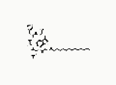 CCCCCCCCCCCCCC(=O)NCC(=O)N[C@@H](CC(=O)O)C(=O)N[C@@H](C)C(=O)N[C@@H](Cc1c[nH]cn1)C(=O)N[C@@H](Cc1c[nH]c2ccccc12)C(=O)O